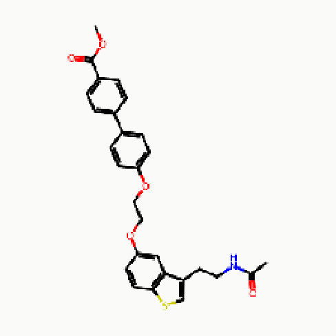 COC(=O)c1ccc(-c2ccc(OCCOc3ccc4scc(CCNC(C)=O)c4c3)cc2)cc1